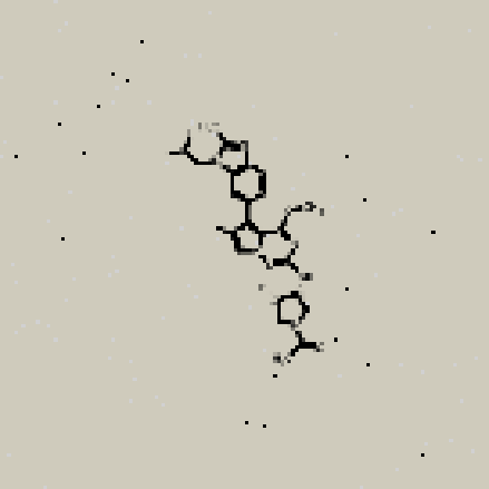 COc1nc(N[C@@H]2CN(C(C)=O)C[C@@H]2F)nn2cc(F)c(-c3ccc4nc(C)n(CC(F)F)c4c3)c12